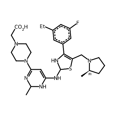 CCc1cc(F)cc(C2=C(CN3CCC[C@H]3C)SC(NC3=CC(N4CCN(CC(=O)O)CC4)=NC(C)N3)N2)c1